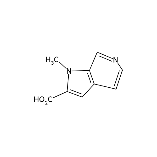 Cn1c(C(=O)O)cc2ccncc21